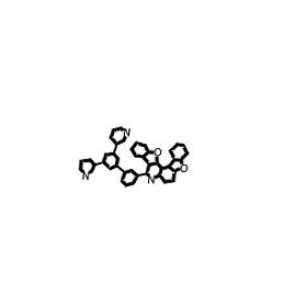 c1cncc(-c2cc(-c3cccnc3)cc(-c3cccc(-c4nc5ccc6oc7ccccc7c6c5c5oc6ccccc6c45)c3)c2)c1